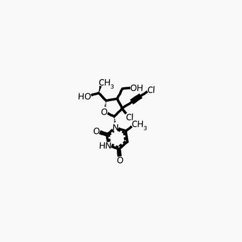 Cc1cc(=O)[nH]c(=O)n1[C@@H]1O[C@H]([C@H](C)O)C(CO)C1(Cl)C#CCl